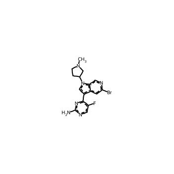 CN1CCC(n2cc(-c3nc(N)ncc3F)c3cc(Br)ncc32)C1